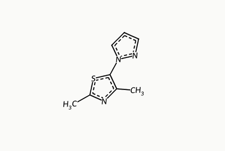 Cc1nc(C)c(-n2cccn2)s1